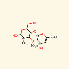 C[C@@H]1C(O)OC(CO)[C@@H](O[C@H]2C[C@@H](O)C=C(C(=O)O)O2)C1OS(=O)(=O)O